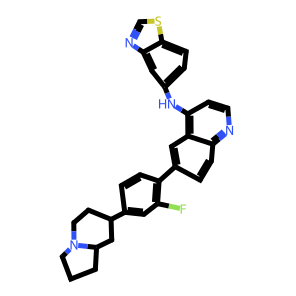 Fc1cc(C2CCN3CCCC3C2)ccc1-c1ccc2nccc(Nc3ccc4scnc4c3)c2c1